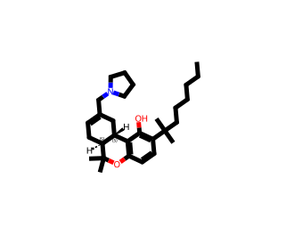 CCCCCCC(C)(C)c1ccc2c(c1O)[C@H]1CC(CN3CCCC3)=CC[C@@H]1C(C)(C)O2